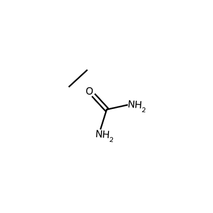 CC.NC(N)=O